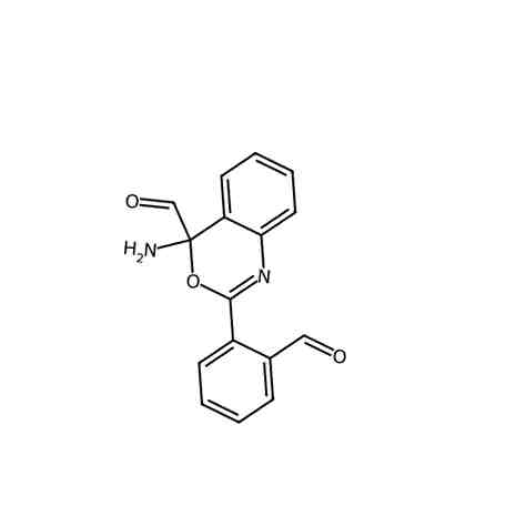 NC1(C=O)OC(c2ccccc2C=O)=Nc2ccccc21